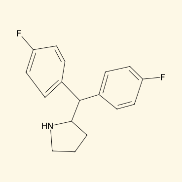 Fc1ccc(C(c2ccc(F)cc2)C2CCCN2)cc1